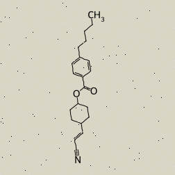 CCCCCc1ccc(C(=O)OC2CCC(C=CC#N)CC2)cc1